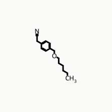 CCCCCCOCc1ccc(CC#N)cc1